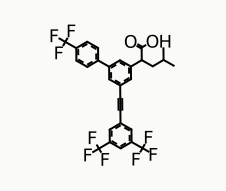 CC(C)CC(C(=O)O)c1cc(C#Cc2cc(C(F)(F)F)cc(C(F)(F)F)c2)cc(-c2ccc(C(F)(F)F)cc2)c1